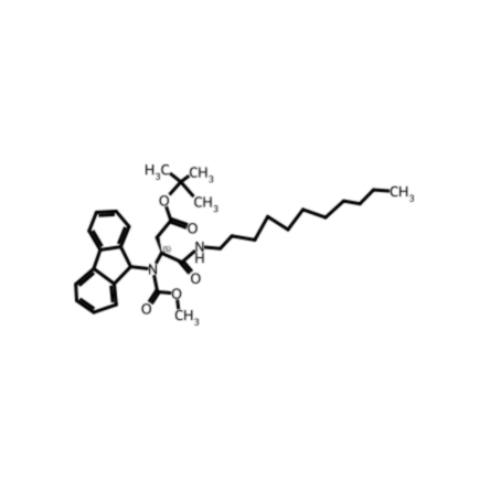 CCCCCCCCCCCNC(=O)[C@H](CC(=O)OC(C)(C)C)N(C(=O)OC)C1c2ccccc2-c2ccccc21